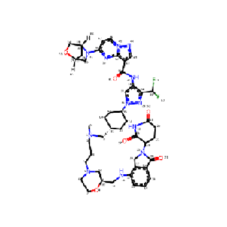 CN(CCCN1CCO[C@H](CNc2cccc3c2CN(C2CCC(=O)NC2=O)C3=O)C1)C[C@H]1CC[C@H](n2cc(NC(=O)c3cnn4ccc(N5C[C@H]6C[C@@H]5CO6)nc34)c(C(F)F)n2)CC1